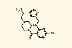 CC(C)(C)c1ncc(C(=O)N2CCN(CCN)CC2)c(NCc2ccco2)n1